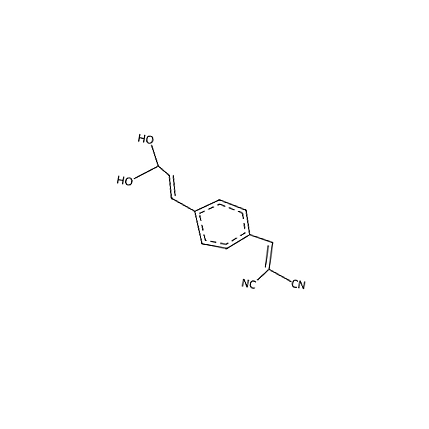 N#CC(C#N)=Cc1ccc(/C=C/C(O)O)cc1